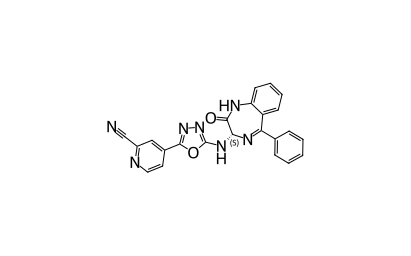 N#Cc1cc(-c2nnc(N[C@H]3N=C(c4ccccc4)c4ccccc4NC3=O)o2)ccn1